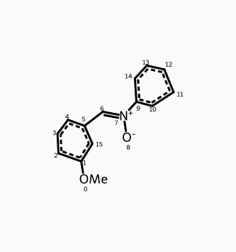 COc1cccc(C=[N+]([O-])c2ccccc2)c1